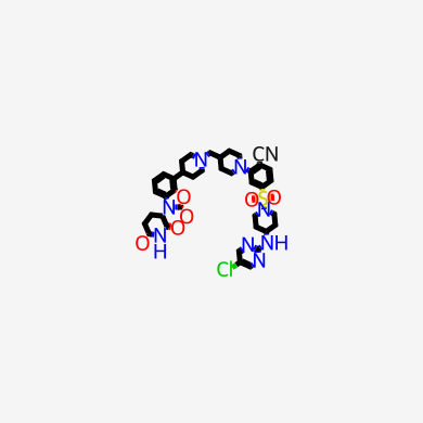 N#Cc1ccc(S(=O)(=O)N2CCC(Nc3ncc(Cl)cn3)CC2)cc1N1CCC(CN2CCC(c3cccc4c3oc(=O)n4C3CCC(=O)NC3=O)CC2)CC1